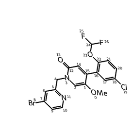 COc1cn(Cc2cc(Br)ccn2)c(=O)cc1-c1cc(Cl)ccc1OC(F)F